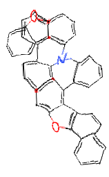 c1ccc(-c2ccccc2N(c2ccccc2-c2cccc3oc4c5ccccc5ccc4c23)c2cccc3oc4ccccc4c23)cc1